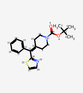 CC(C)(C)OC(=O)N1CCC(=C(c2ccccc2)c2nccs2)CC1